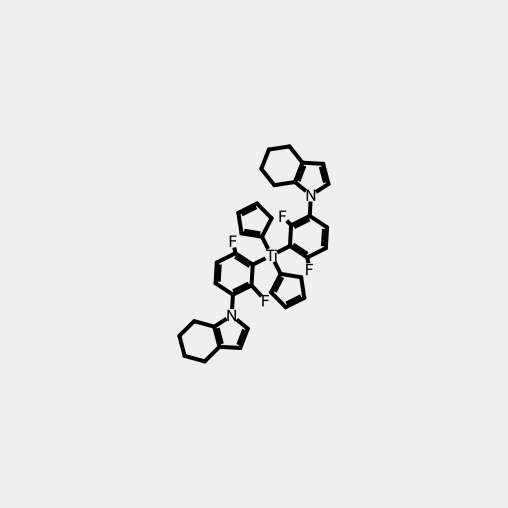 Fc1ccc(-n2ccc3c2CCCC3)c(F)[c]1[Ti]([C]1=CC=CC1)([C]1=CC=CC1)[c]1c(F)ccc(-n2ccc3c2CCCC3)c1F